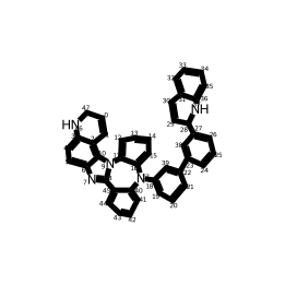 C1=Cc2c(ccc3nc4n(c23)-c2ccccc2N(c2cccc(-c3cccc(C5C=Cc6ccccc6N5)c3)c2)c2ccccc2-4)NC1